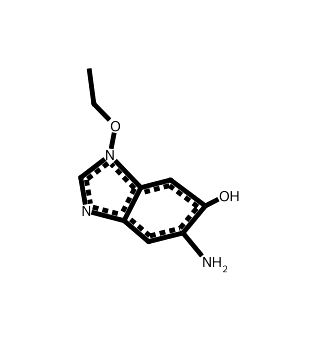 CCOn1cnc2cc(N)c(O)cc21